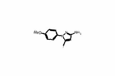 COc1ccc(-n2nc(N)cc2I)cc1